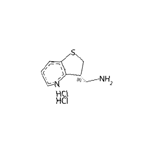 Cl.Cl.NC[C@H]1CSc2cccnc21